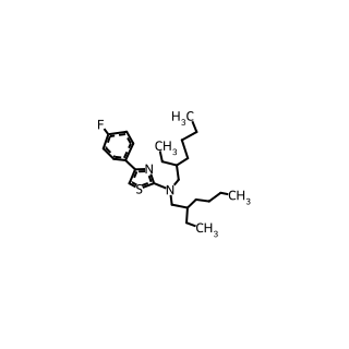 CCCCC(CC)CN(CC(CC)CCCC)c1nc(-c2ccc(F)cc2)cs1